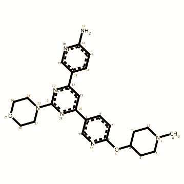 CN1CCC(Oc2ccc(-c3cc(-c4ccc(N)nc4)nc(N4CCOCC4)n3)cn2)CC1